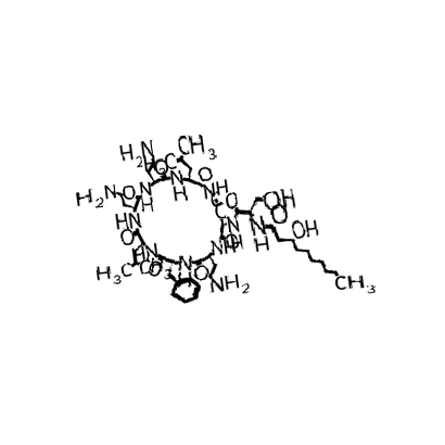 CCCCCCC[C@@H](O)CC(=O)N[C@H](CO)C(=O)N[C@H]1CCNC(=O)[C@H](CC(C)C)NC(=O)[C@H](CCN)NC(=O)[C@H](CCN)NC(=O)[C@H](CC(C)C)NC(=O)[C@@H](Cc2ccccc2)NC(=O)[C@H](CCN)NC1=O